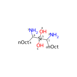 CCCCCCCCC(N)[Si](O)(O)C(N)CCCCCCCC